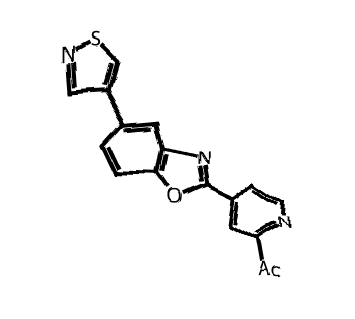 CC(=O)c1cc(-c2nc3cc(-c4cnsc4)ccc3o2)ccn1